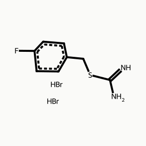 Br.Br.N=C(N)SCc1ccc(F)cc1